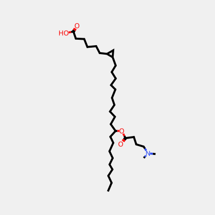 CCCCCCCCCC(CCCCCCCCCCC1CC1CCCCCC(=O)O)OC(=O)CCCN(C)C